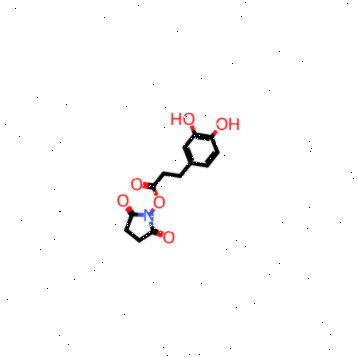 O=C(CCc1ccc(O)c(O)c1)ON1C(=O)CCC1=O